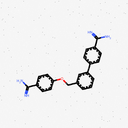 N=C(N)c1ccc(OCc2cccc(-c3ccc(C(=N)N)cc3)c2)cc1